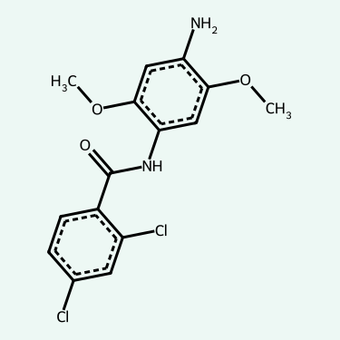 COc1cc(NC(=O)c2ccc(Cl)cc2Cl)c(OC)cc1N